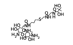 CC(C)(CO)[C@@H](O)C(=O)NCCC(=O)NCCSCCCCCC(=O)NC[C@H]1OC(O[C@H]2[C@H](O)[C@@H](O)[C@H](N)C[C@@H]2N)[C@H](N)[C@@H](O)[C@@H]1O